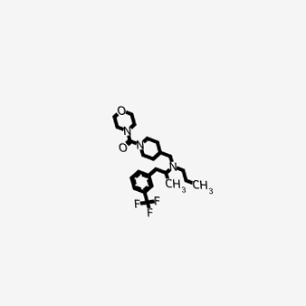 CCCN(CC1CCN(C(=O)N2CCOCC2)CC1)C(C)Cc1cccc(C(F)(F)F)c1